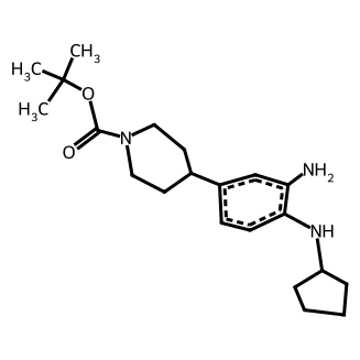 CC(C)(C)OC(=O)N1CCC(c2ccc(NC3CCCC3)c(N)c2)CC1